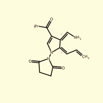 C=C/C=c1\c(=C/N)c(C(=O)C(C)C)cn1N1C(=O)CCC1=O